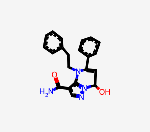 NC(=O)c1cnn2c1N(CCc1ccccc1)C(c1ccccc1)=CC2O